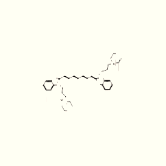 C[N+]1(CCCN2/C(=C/C=C/C=C/C=C/c3sc4ccccc4[n+]3CCC[N+]3(C)CCOCC3)Sc3ccccc32)CCOCC1